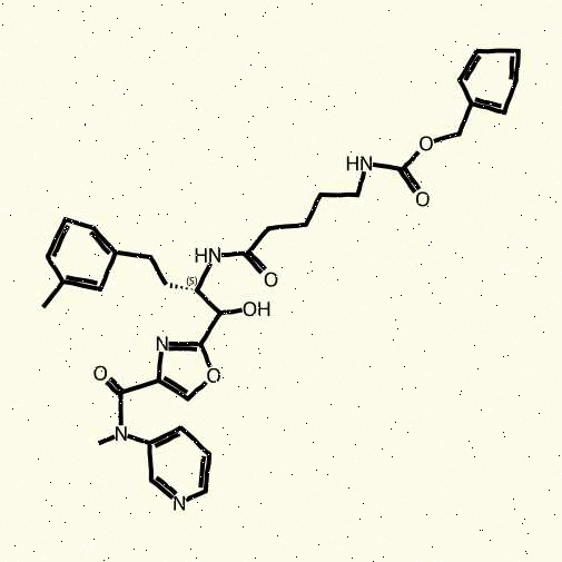 Cc1cccc(CC[C@H](NC(=O)CCCCNC(=O)OCc2ccccc2)C(O)c2nc(C(=O)N(C)c3cccnc3)co2)c1